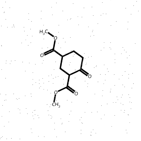 COC(=O)C1CCC(=O)C(C(=O)OC)C1